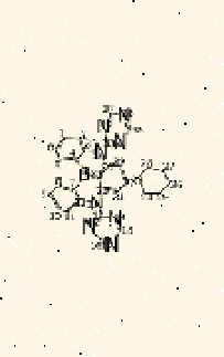 c1ccc2c(c1)B1c3ccccc3N(c3ncncn3)c3cc(C4CCCCC4)cc(c31)N2c1ncncn1